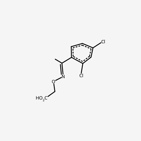 CC(=NOCC(=O)O)c1ccc(Cl)cc1Cl